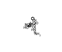 CC(=O)N1C[C@H](O)C[C@H]1C(=O)N[C@H](CCCNC=NN)C(=O)c1nc2ccccc2s1.O=[N+]([O-])O